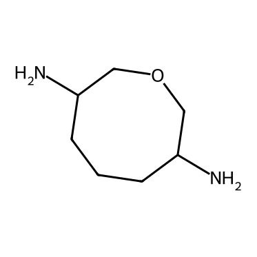 NC1CCCC(N)COC1